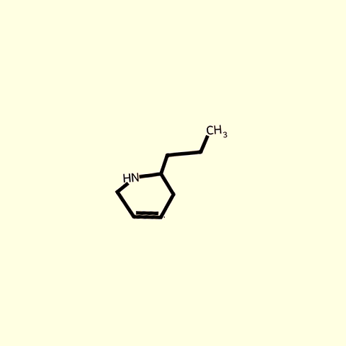 CCCC1C[C]=CCN1